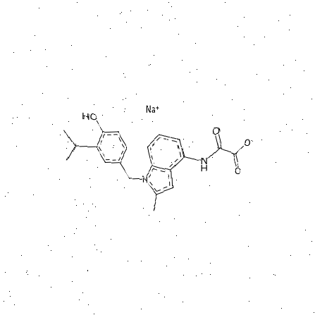 Cc1cc2c(NC(=O)C(=O)[O-])cccc2n1Cc1ccc(O)c(C(C)C)c1.[Na+]